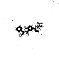 CS(=O)(=O)c1nccc(-c2ccc3c(c2)C(=O)N(C(CO)c2ccccc2)C3)n1